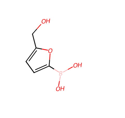 OCc1ccc(B(O)O)o1